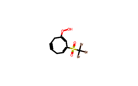 O=S(=O)(C1=C/CC#CC/C(OO)=C\1)C(Br)(Br)Br